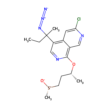 CCC(C)(N=[N+]=[N-])c1cnc(O[C@H](C)CC[S@+](C)[O-])c2cnc(Cl)cc12